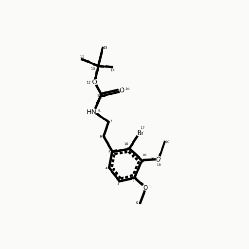 COc1ccc(CCNC(=O)OC(C)(C)C)c(Br)c1OC